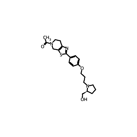 CC(=O)N1CCc2nc(-c3ccc(OCCCN4CCC[C@H]4CO)cc3)sc2C1